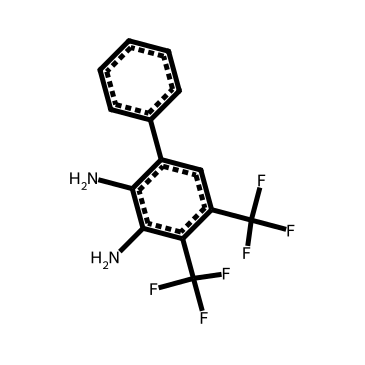 Nc1c(-c2ccccc2)cc(C(F)(F)F)c(C(F)(F)F)c1N